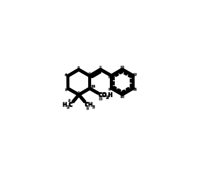 CC1(C)CCCC(=Cc2ccccc2)C1C(=O)O